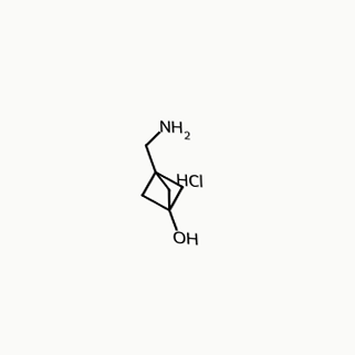 Cl.NCC12CC(O)(C1)C2